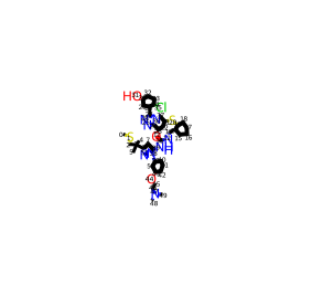 CSCC(C)(C)c1cc(NC(=O)NCc2ccccc2Sc2ccc3nnc(-c4cc(O)ccc4Cl)n3c2)n(-c2cccc(OCCN(C)C)c2)n1